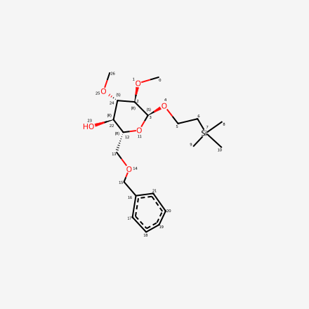 CO[C@H]1[C@@H](OCC[Si](C)(C)C)O[C@H](COCc2ccccc2)[C@@H](O)[C@@H]1OC